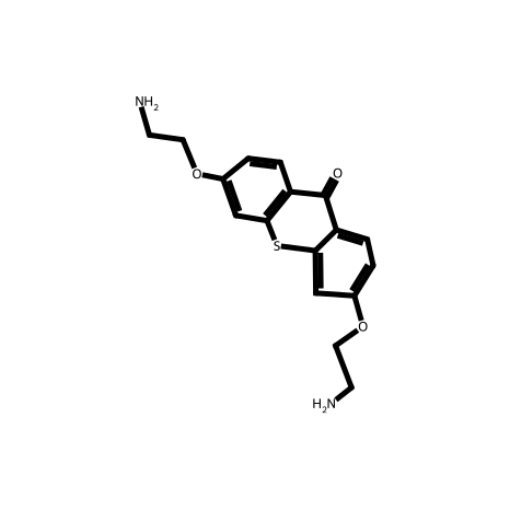 NCCOc1ccc2c(=O)c3ccc(OCCN)cc3sc2c1